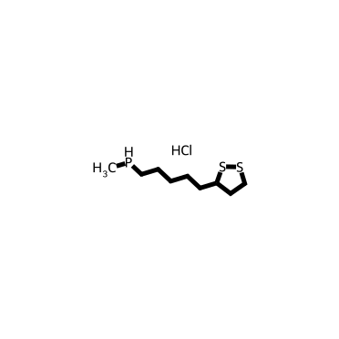 CPCCCCCC1CCSS1.Cl